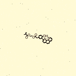 C=C(C)C(=O)OCCOC(=O)Cc1ccc(O)c(-c2ccc3ccc4cccnc4c3n2)c1